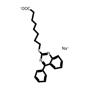 O=C([O-])CCCCCCCSc1nc(-c2ccccc2)c2ccccc2n1.[Na+]